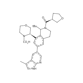 Cc1c[nH]c2ncc(-c3cc4c(c([C@@H]5COCCN5C(=O)O)c3)C(C(C)(C)C)N(C(=O)[C@H]3CCOC3)CC4)cc12